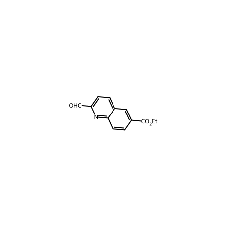 CCOC(=O)c1ccc2nc(C=O)ccc2c1